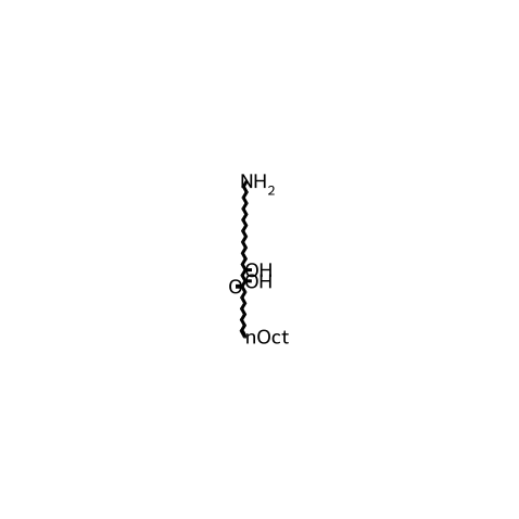 CCCCCCCC/C=C\CCCCCCCC(=O)C(O)CC(O)CCCCCCCCCCCCCCCN